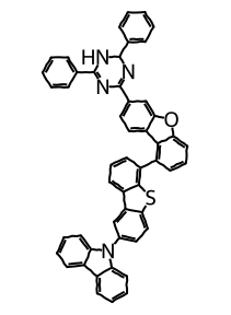 c1ccc(C2=NC(c3ccc4c(c3)oc3cccc(-c5cccc6c5sc5ccc(-n7c8ccccc8c8ccccc87)cc56)c34)=NC(c3ccccc3)N2)cc1